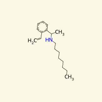 C=Cc1ccccc1C(C)NCCCCCCCC